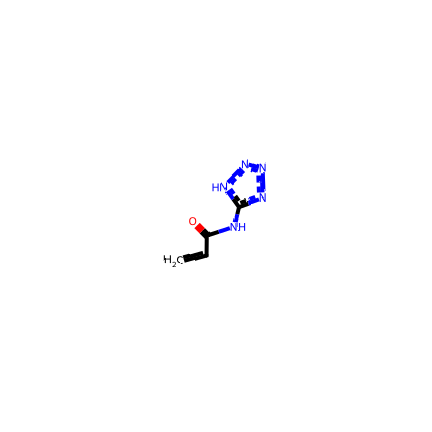 C=CC(=O)Nc1nnn[nH]1